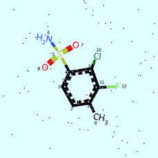 Cc1ccc(S(N)(=O)=O)c(Cl)c1F